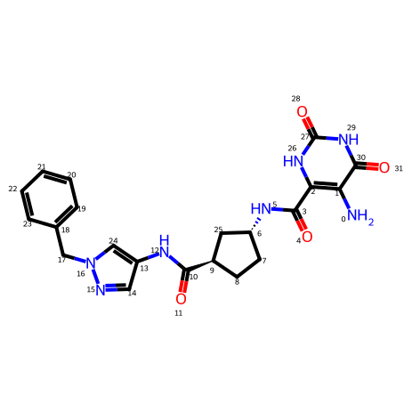 Nc1c(C(=O)N[C@@H]2CC[C@@H](C(=O)Nc3cnn(Cc4ccccc4)c3)C2)[nH]c(=O)[nH]c1=O